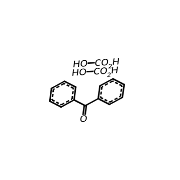 O=C(O)O.O=C(O)O.O=C(c1ccccc1)c1ccccc1